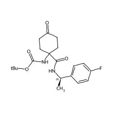 C[C@@H](NC(=O)C1(NC(=O)OC(C)(C)C)CCC(=O)CC1)c1ccc(F)cc1